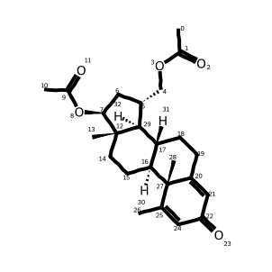 CC(=O)OC[C@H]1C[C@H](OC(C)=O)[C@@]2(C)CC[C@H]3[C@@H](CCC4=CC(=O)C=C(C)[C@@]43C)[C@H]12